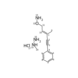 CC(C#Cc1ccccc1)=CCON.CNN.Cl